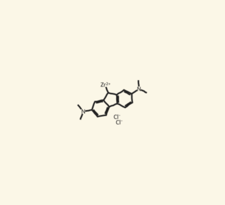 CN(C)c1ccc2c(c1)[CH]([Zr+2])c1cc(N(C)C)ccc1-2.[Cl-].[Cl-]